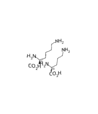 NCCCC[C@H](N)C(=O)O.NCCC[C@H](N)C(=O)O